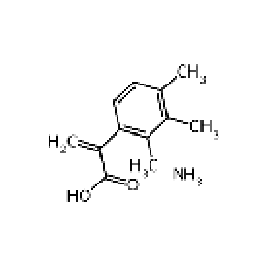 C=C(C(=O)O)c1ccc(C)c(C)c1C.N